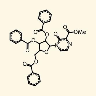 COC(=O)c1nccn(C2OC(COC(=O)c3ccccc3)C(OC(=O)c3ccccc3)C2OC(=O)c2ccccc2)c1=O